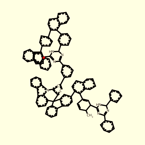 CC1C=CC(c2c(-c3ccc4c(c3)C3(c5ccccc5-4)c4ccc(-c5cccc(C6=NC(c7cccc(-c8c(-c9ccc(-n%10c%11ccccc%11c%11ccccc%11%10)cc9)ccc9ccccc89)c7)NC(c7ccccc7)=N6)c5)cc4-n4c5ccccc5c5cccc3c54)ccc3ccccc23)=CC1C1=NC(c2ccccc2)=NC(c2ccccc2)N1